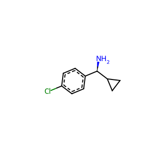 N[C@H](c1ccc(Cl)cc1)C1CC1